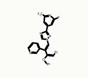 CC/C=C(OC(C)C)\C(=C\n1cnc(-c2cc(F)nc(C(F)(F)F)c2)n1)c1cccnc1